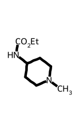 CCOC(=O)NC1CCN(C)CC1